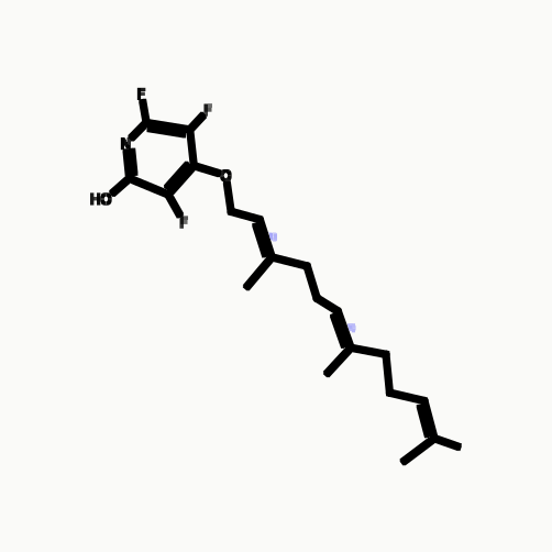 CC(C)=CCC/C(C)=C/CC/C(C)=C/COc1c(F)c(O)nc(F)c1F